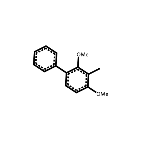 COc1ccc(-c2ccccc2)c(OC)c1C